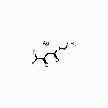 CCOC(=O)CC(=O)C(F)F.[Ag+]